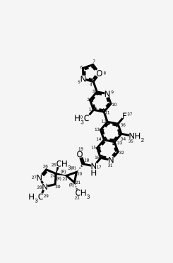 Cc1cc(-c2ncco2)ncc1-c1cc2cc(NC(=O)[C@@H]3[C@H](C)[C@H]3[C@@]3(C)C=NN(C)C3)ncc2c(N)c1F